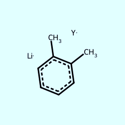 Cc1ccccc1C.[Li].[Y]